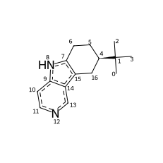 CC(C)(C)[C@@H]1CCc2[nH]c3ccncc3c2C1